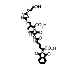 O=C(CCCC(C(=O)O)N1C(=O)c2ccccc2C1=O)N[C@@H]1C(=O)N2C(C(=O)O)=C(CSc3nnc(SCCO)s3)CS[C@@H]12